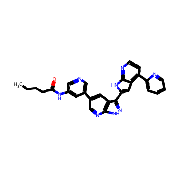 CCCCC(=O)Nc1cncc(-c2cnc3[nH]nc(-c4cc5c(-c6ccccn6)ccnc5[nH]4)c3c2)c1